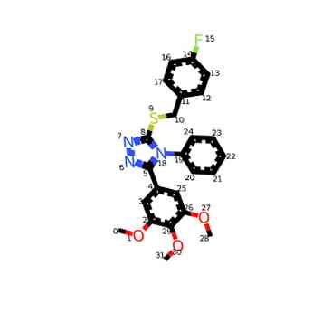 COc1cc(-c2nnc(SCc3ccc(F)cc3)n2-c2ccccc2)cc(OC)c1OC